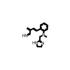 C=C(C=N)/C=C/c1ccccc1N(C)CC1=NCCN1